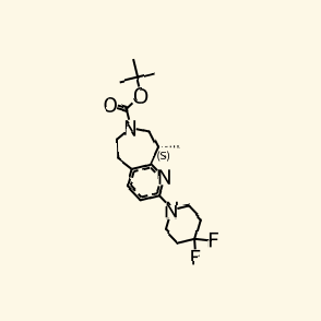 C[C@H]1CN(C(=O)OC(C)(C)C)CCc2ccc(N3CCC(F)(F)CC3)nc21